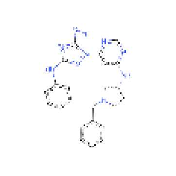 Nc1nc(Nc2ccccc2)nn1-c1cc(N[C@@H]2CCN(Cc3ccccc3)C2)ncn1